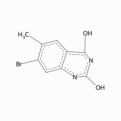 Cc1cc2c(O)nc(O)nc2cc1Br